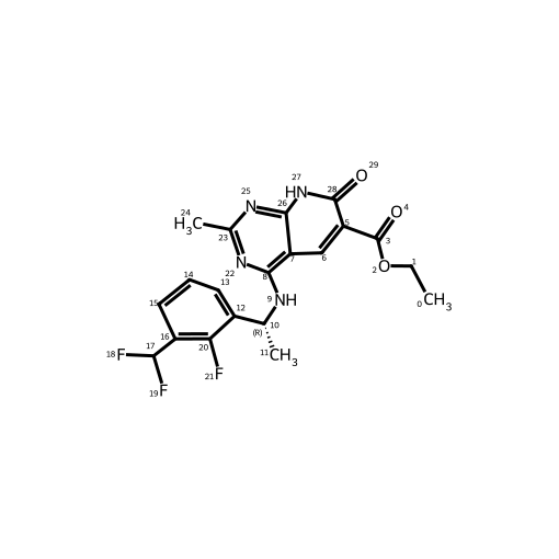 CCOC(=O)c1cc2c(N[C@H](C)c3cccc(C(F)F)c3F)nc(C)nc2[nH]c1=O